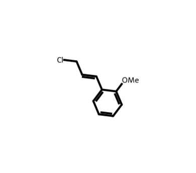 COc1ccccc1C=CCCl